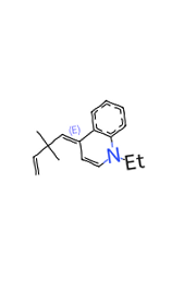 C=CC(C)(C)/C=C1\C=CN(CC)c2ccccc21